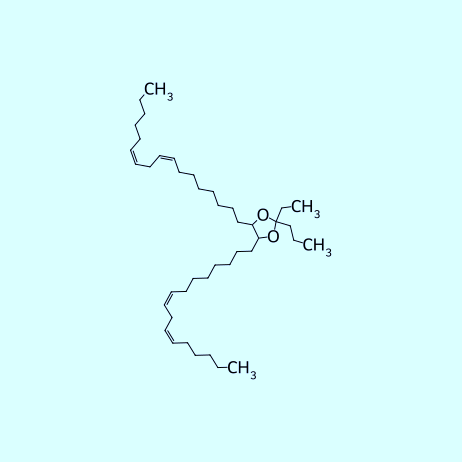 CCCCC/C=C\C/C=C\CCCCCCCC1OC(CC)(CCC)OC1CCCCCCC/C=C\C/C=C\CCCCC